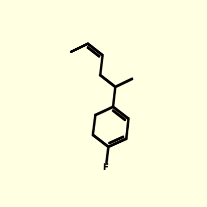 C/C=C\CC(C)C1=CC=C(F)CC1